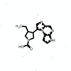 CCC1CN(C(=O)O)CC1c1cnc2cnc3[nH]ccc3n12